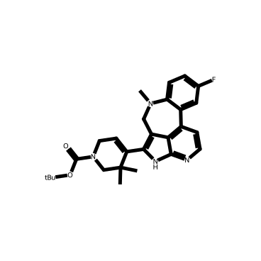 CN1Cc2c(C3=CCN(C(=O)OC(C)(C)C)CC3(C)C)[nH]c3nccc(c23)-c2cc(F)ccc21